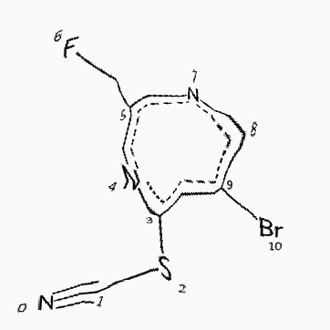 N#CSc1nc(F)ncc1Br